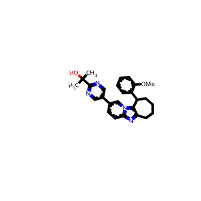 COc1ccccc1C1CCCCc2nc3ccc(-c4cnc(C(C)(C)O)nc4)cn3c21